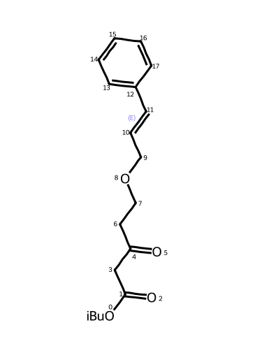 CC(C)COC(=O)CC(=O)CCOC/C=C/c1ccccc1